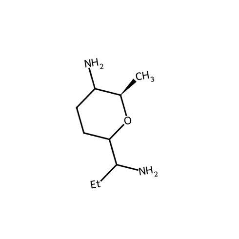 CCC(N)C1CCC(N)[C@@H](C)O1